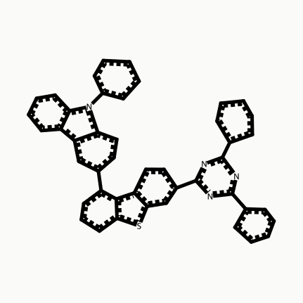 c1ccc(-c2nc(-c3ccccc3)nc(-c3ccc4c(c3)sc3cccc(-c5ccc6c(c5)c5ccccc5n6-c5ccccc5)c34)n2)cc1